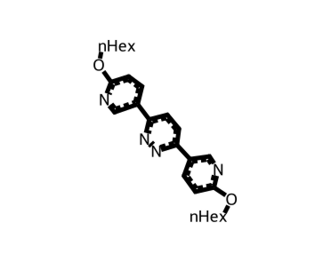 CCCCCCOc1ccc(-c2ccc(-c3ccc(OCCCCCC)nc3)nn2)cn1